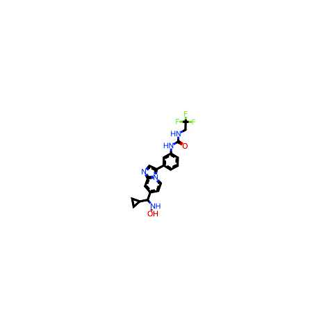 O=C(NCC(F)(F)F)Nc1cccc(-c2cnc3cc(C(NO)C4CC4)ccn23)c1